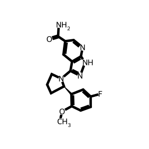 COc1ccc(F)cc1[C@H]1CCCN1c1n[nH]c2ncc(C(N)=O)cc12